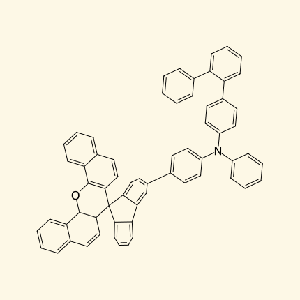 C1=CC2C(Oc3c(ccc4ccccc34)C23c2ccccc2-c2cc(-c4ccc(N(c5ccccc5)c5ccc(-c6ccccc6-c6ccccc6)cc5)cc4)ccc23)c2ccccc21